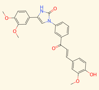 COc1cc(C=CC(=O)c2cccc(-n3cc(-c4ccc(OC)c(OC)c4)[nH]c3=O)c2)ccc1O